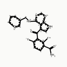 NC(=O)c1ccc(F)c(C(=O)c2c[nH]c3ncnc(NCc4cccnc4)c23)c1F